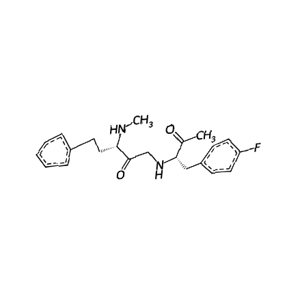 CN[C@@H](CCc1ccccc1)C(=O)CN[C@@H](Cc1ccc(F)cc1)C(C)=O